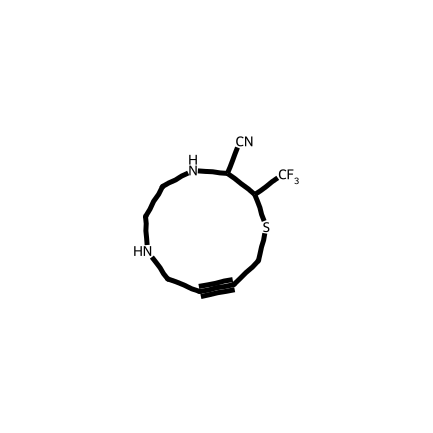 N#CC1NCCNCC#CCSC1C(F)(F)F